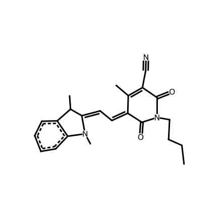 CCCCN1C(=O)C(C#N)=C(C)/C(=C\C=C2\C(C)c3ccccc3N2C)C1=O